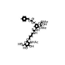 CO[C@H]1C(OP(=O)(O)OC)[C@@H](COC(=O)OCc2ccccc2)C[C@@H]1NC(=S)NCCCCO[C@@H]1O[C@H](CO)[C@H](O)[C@H](O)[C@H]1NC(C)=O